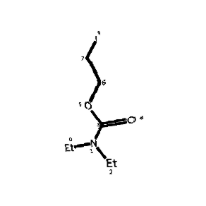 CCN(CC)C(=O)OCCI